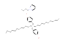 CCCCCCCCCCCC[B-](CCCCCCCCCCCC)(Cc1ccc(OC)cc1)Cc1ccc(OC)cc1.CCCC[n+]1ccccc1